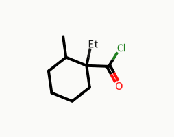 CCC1(C(=O)Cl)CCCCC1C